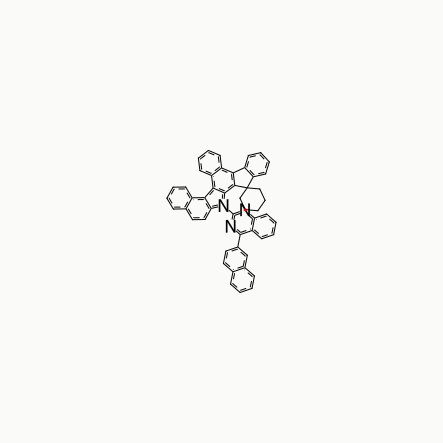 c1ccc2c(c1)-c1c(c3c(c4ccccc14)c1c4ccccc4ccc1n3-c1nc(-c3ccc4ccccc4c3)c3ccccc3n1)C21CCCCC1